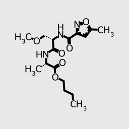 CCCCOC(=O)[C@H](C)NC(=O)[C@H](COC)NC(=O)c1cc(C)on1